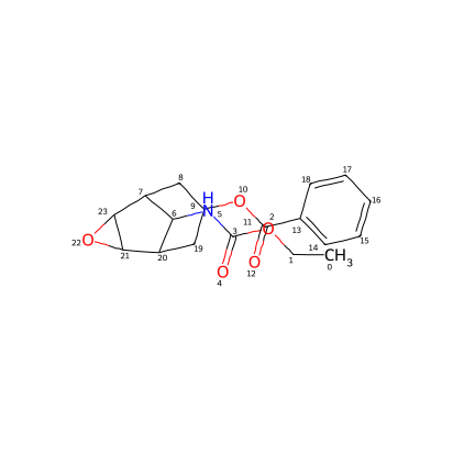 CCOC(=O)NC1C2CC(OC(=O)c3ccccc3)CC1C1OC21